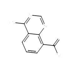 NC(=O)c1cccc2c(N)ncnc12